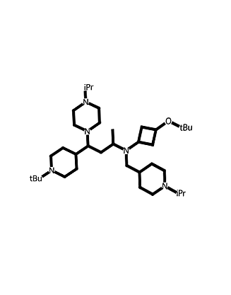 CC(C)N1CCC(CN(C(C)CC(C2CCN(C(C)(C)C)CC2)N2CCN(C(C)C)CC2)C2CC(OC(C)(C)C)C2)CC1